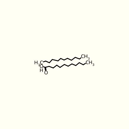 CCCCCCCCCCCC.CCCCCCCCCCCC(=O)O